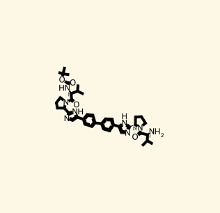 CC(C)[C@H](N)C(=O)N1CCC[C@H]1c1ncc(-c2ccc(-c3ccc(-c4cnc(C5CCCN5C(=O)[C@@H](NC(=O)OC(C)(C)C)C(C)C)[nH]4)cc3)cc2)[nH]1